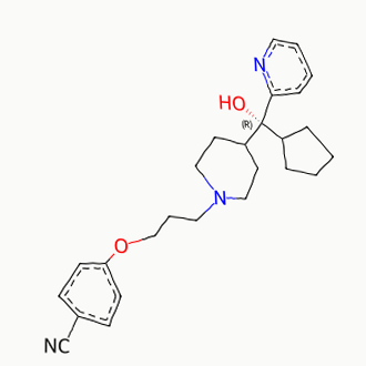 N#Cc1ccc(OCCCN2CCC([C@@](O)(c3ccccn3)C3CCCC3)CC2)cc1